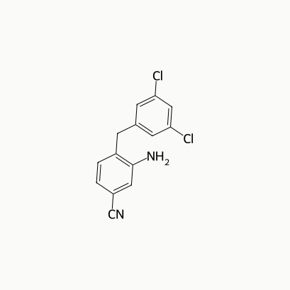 N#Cc1ccc(Cc2cc(Cl)cc(Cl)c2)c(N)c1